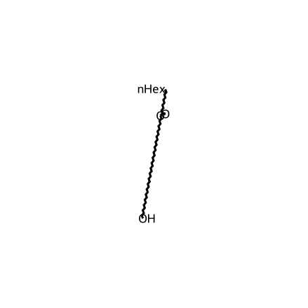 CCCCCC/C=C\CCCCCCCC(=O)OCCCCCCCCCCCCCCCCCCCCCCCCCCCCCCCCCCCCCCO